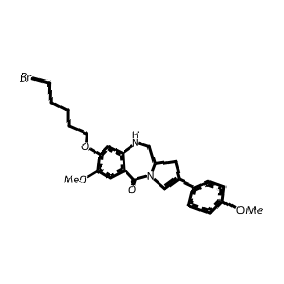 COc1ccc(C2=CN3C(=O)c4cc(OC)c(OCCCCCBr)cc4NCC3C2)cc1